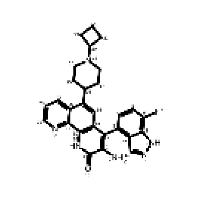 Nc1c(-c2ccc(F)c3[nH]ncc23)c2cc(C3CCN(C4CCC4)CC3)c3cccnc3c2[nH]c1=O